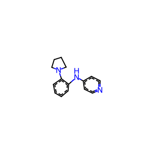 c1ccc(N2CCCC2)c(Nc2ccncc2)c1